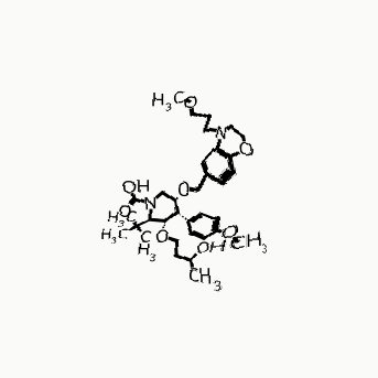 COCCCN1CCOc2ccc(CO[C@H]3CN(C(=O)O)C(C(C)(C)C)[C@@H](OCCC(C)O)[C@H]3c3ccc(OC)cc3)cc21